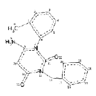 Cc1ccccc1-n1c(N)cc(=O)n(Cc2ccccc2)c1=O